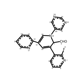 O=CC1C(c2cccnc2F)=CC(c2ccccn2)=CN1c1cncnc1